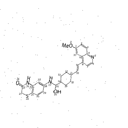 COc1ccc2nccc(/C=C/C3CCC(C(O)Nc4ccc5c(c4)NC(=O)CS5)CC3)c2c1